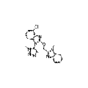 Cn1nnnc1-n1c(OCc2nc3ccccc3n2C)nc2c(Cl)cccc21